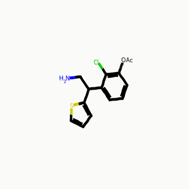 CC(=O)Oc1cccc(C(CN)c2cccs2)c1Cl